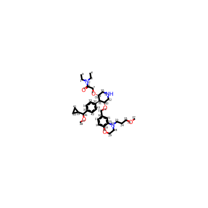 CCN(CC)C(=O)CO[C@@H]1CNC[C@H](OCc2ccc3c(c2)N(CCCOC)CCO3)[C@H]1c1ccc(C(OC)C2CC2)cc1